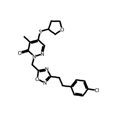 Cc1c(SC2CCOC2)cnn(Cc2nc(CCc3ccc(Cl)cc3)no2)c1=O